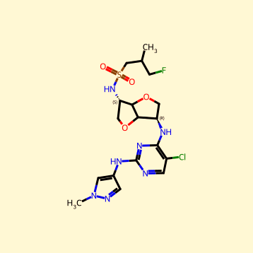 CC(CF)CS(=O)(=O)N[C@H]1COC2C1OC[C@H]2Nc1nc(Nc2cnn(C)c2)ncc1Cl